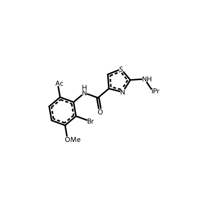 COc1ccc(C(C)=O)c(NC(=O)c2csc(NC(C)C)n2)c1Br